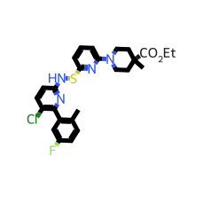 CCOC(=O)C1(C)CCN(c2cccc(SNc3ccc(Cl)c(-c4cc(F)ccc4C)n3)n2)CC1